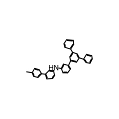 Cc1ccc(-c2cccc(Nc3cccc(-c4cc(-c5ccccc5)cc(-c5ccccc5)c4)c3)c2)cc1